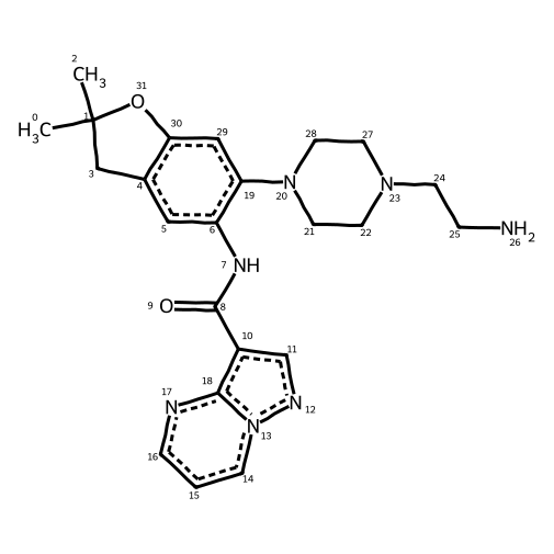 CC1(C)Cc2cc(NC(=O)c3cnn4cccnc34)c(N3CCN(CCN)CC3)cc2O1